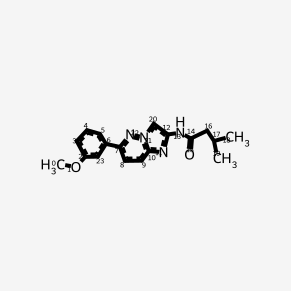 COc1cccc(-c2ccc3nc(NC(=O)CC(C)C)cn3n2)c1